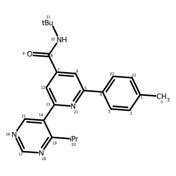 Cc1ccc(-c2cc(C(=O)NC(C)(C)C)cc(-c3cncnc3C(C)C)n2)cc1